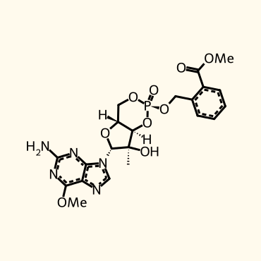 COC(=O)c1ccccc1CO[P@]1(=O)OC[C@H]2O[C@@H](n3cnc4c(OC)nc(N)nc43)[C@](C)(O)[C@@H]2O1